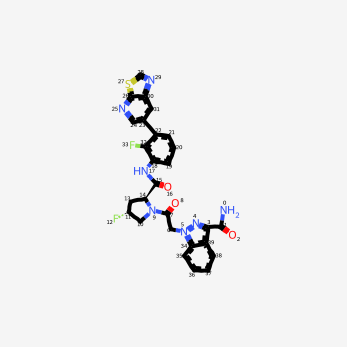 NC(=O)c1nn(CC(=O)N2C[C@H](F)C[C@H]2C(=O)Nc2cccc(-c3cnc4scnc4c3)c2F)c2ccccc12